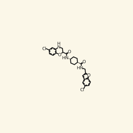 O=C(N[C@H]1CC[C@H](C(=O)NCc2cc3cc(Cl)ccc3o2)CC1)C1CNc2cc(Cl)ccc2O1